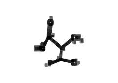 CC(C(=O)O)C(F)Cl